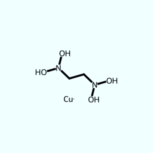 ON(O)CCN(O)O.[Cu]